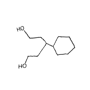 OCCC(CCO)C1CCCCC1